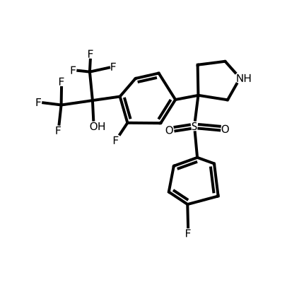 O=S(=O)(c1ccc(F)cc1)C1(c2ccc(C(O)(C(F)(F)F)C(F)(F)F)c(F)c2)CCNC1